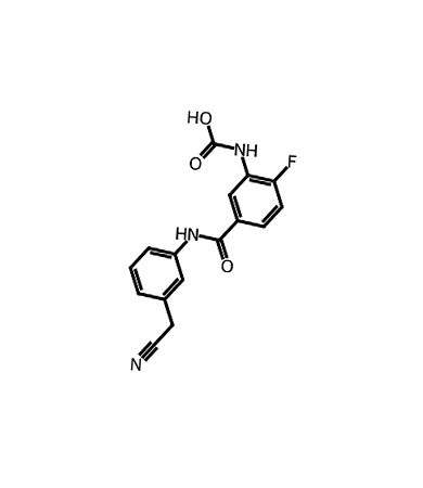 N#CCc1cccc(NC(=O)c2ccc(F)c(NC(=O)O)c2)c1